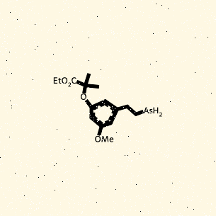 CCOC(=O)C(C)(C)Oc1cc(CC[AsH2])cc(OC)c1